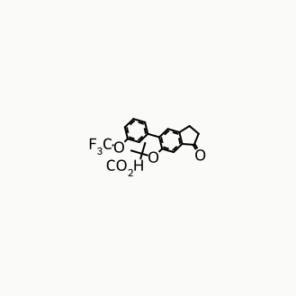 CC(C)(Oc1cc2c(cc1-c1cccc(OC(F)(F)F)c1)CCC2=O)C(=O)O